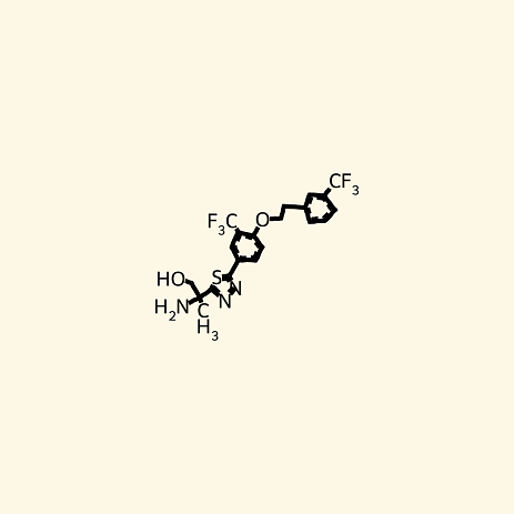 CC(N)(CO)c1nnc(-c2ccc(OCCc3cccc(C(F)(F)F)c3)c(C(F)(F)F)c2)s1